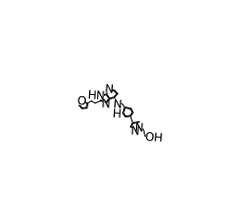 OCCn1cc(-c2ccc(CNc3ccnc4[nH]c(CCc5ccco5)nc34)cc2)cn1